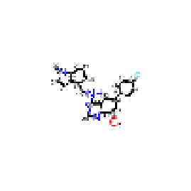 COc1cc(-c2ccc(F)cc2)cc2c(NCc3cccc4c3ccn4C)ncnc12